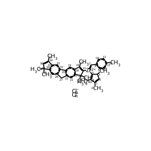 CC1=CC(C)[C]([Zr+2](=[CH]c2ccc(C)cc2)[C]2=C(C)c3cc4c(cc3C2(C)C)Cc2cc3c(cc2-4)C(C)=CC3(C)C)=C1C.[Cl-].[Cl-]